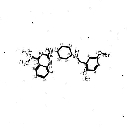 CCOc1ccc(OCC)c(CN[C@H]2CC[C@@H](Nc3nc(N(C)C)c4ccccc4n3)CC2)c1